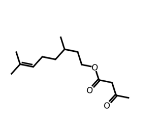 CC(=O)CC(=O)OCCC(C)CCC=C(C)C